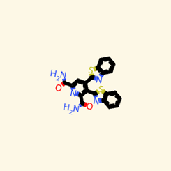 NC(=O)c1cc(-c2nc3ccccc3s2)c(-c2nc3ccccc3s2)c(C(N)=O)n1